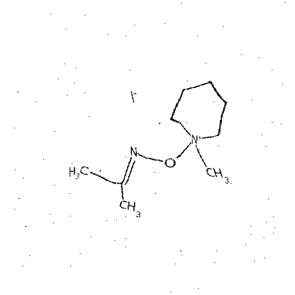 CC(C)=NO[N+]1(C)CCCCC1.[I-]